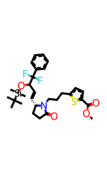 COC(=O)c1ccc(CCCN2C(=O)CC[C@@H]2/C=C/C(O[Si](C)(C)C(C)(C)C)C(F)(F)c2ccccc2)s1